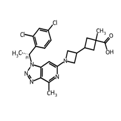 Cc1nc(N2CC(C3CC(C)(C(=O)O)C3)C2)cc2c1nnn2[C@H](C)c1ccc(Cl)cc1Cl